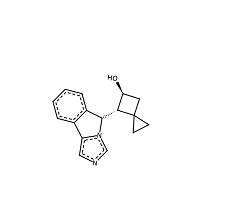 O[C@H]1CC2(CC2)[C@@H]1C1c2ccccc2-c2cncn21